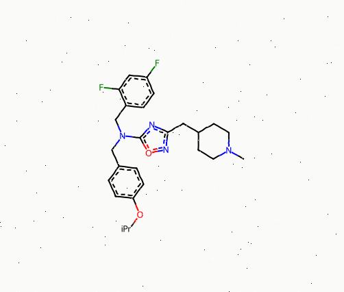 CC(C)Oc1ccc(CN(Cc2ccc(F)cc2F)c2nc(CC3CCN(C)CC3)no2)cc1